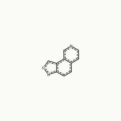 c1cc2ccc3nocc3c2cn1